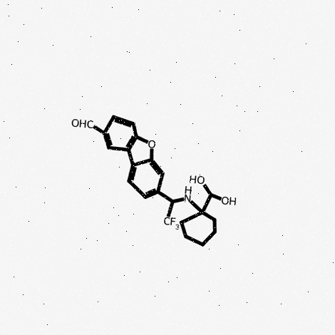 O=Cc1ccc2oc3cc(C(NC4(C(O)O)CCCCC4)C(F)(F)F)ccc3c2c1